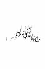 CCOc1cccc(-c2ccc(C(=O)NS(=O)(=O)c3ccc[nH]c3=O)c(N3CCC(C)C3(C)C)n2)c1